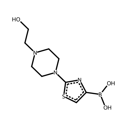 OCCN1CCN(c2nc(B(O)O)cs2)CC1